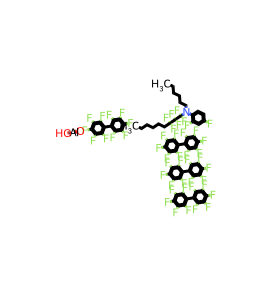 CCCCCCN(c1ccc(F)cc1F)C(F)(F)C(F)(F)C(F)(F)CCCCCC.Fc1c(F)c(F)c(-c2c(F)c(F)c(F)c(F)c2F)c(F)c1F.Fc1c(F)c(F)c(-c2c(F)c(F)c(F)c(F)c2F)c(F)c1F.Fc1c(F)c(F)c(-c2c(F)c(F)c(F)c(F)c2F)c(F)c1F.Fc1c(F)c(F)c(-c2c(F)c(F)c(F)c(F)c2F)c(F)c1F.[O]=[Al][OH]